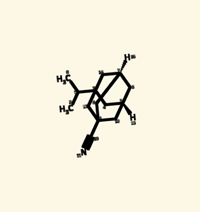 CC(C)C12C[C@@H]3C[C@@H](CC(C#N)(C3)C1)C2